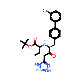 CC[C@H](N[C@@H](Cc1ccc(-c2cccc(Cl)c2)cc1)C(=O)CC1=NNNN1)C(=O)OC(C)(C)C